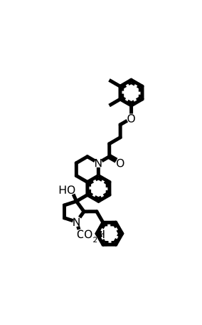 Cc1cccc(OCCCC(=O)N2CCCc3c2cccc3C2(O)CCN(C(=O)O)C2Cc2ccccc2)c1C